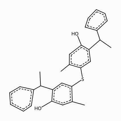 Cc1cc(O)c(C(C)c2ccccc2)cc1Sc1cc(C(C)c2ccccc2)c(O)cc1C